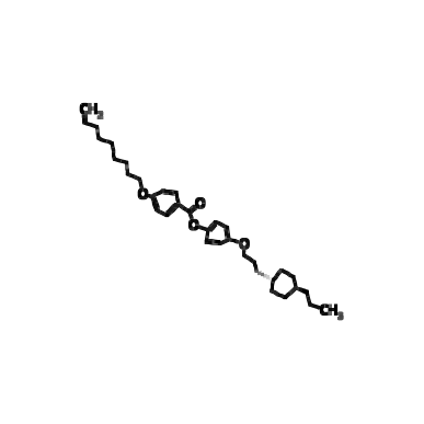 C=CCCCCCCCOc1ccc(C(=O)Oc2ccc(OCCC[C@H]3CC[C@H](CCC)CC3)cc2)cc1